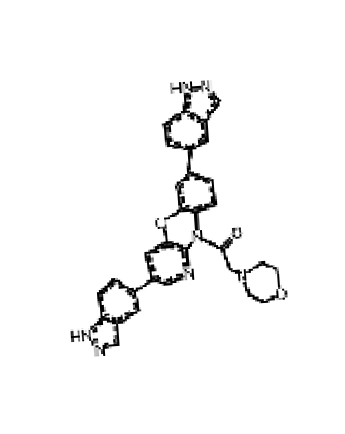 O=C(CN1CCOCC1)N1c2ccc(-c3ccc4[nH]ncc4c3)cc2Oc2cc(-c3ccc4[nH]ncc4c3)cnc21